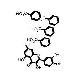 O=C(O)c1ccccc1.O=C(O)c1ccccc1.O=C(O)c1ccccc1.O=C(O)c1ccccc1.O=c1c(O)c(-c2ccc(O)c(O)c2)oc2cc(O)cc(O)c12